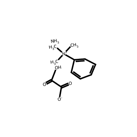 C[N+](C)(C)c1ccccc1.N.O=C([O-])C(=O)O